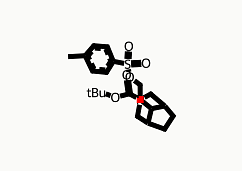 Cc1ccc(S(=O)(=O)OCCC2C3CCC2CN(C(=O)OC(C)(C)C)C3)cc1